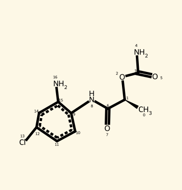 C[C@H](OC(N)=O)C(=O)Nc1ccc(Cl)cc1N